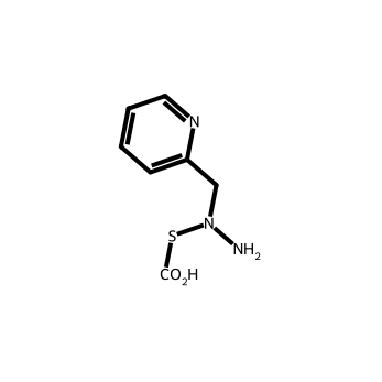 NN(Cc1ccccn1)SC(=O)O